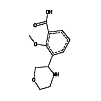 COc1c(C(=O)O)cccc1C1COCCN1